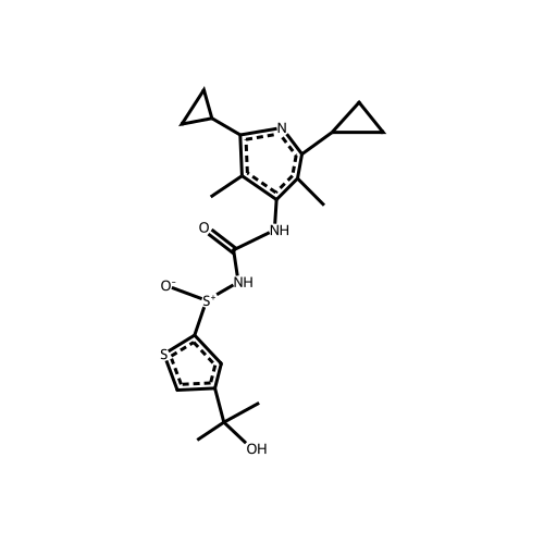 Cc1c(C2CC2)nc(C2CC2)c(C)c1NC(=O)N[S+]([O-])c1cc(C(C)(C)O)cs1